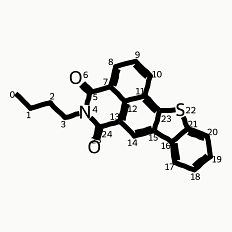 CCCCN1C(=O)c2cccc3c2c(cc2c4ccccc4sc32)C1=O